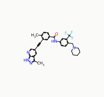 Cc1ccc(C(=O)Nc2ccc(CN3CCCCC3)c(C(F)(F)F)c2)cc1C#Cc1cnc2[nH]nc(C)c2c1